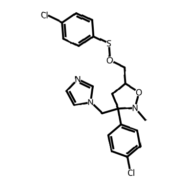 CN1OC(COSc2ccc(Cl)cc2)CC1(Cn1ccnc1)c1ccc(Cl)cc1